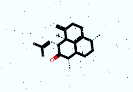 C=C1CCC2=C3[C@H]1[C@@H](C=C(C)C)C(=O)[C@@H](C)[C@@H]3CC[C@H]2C